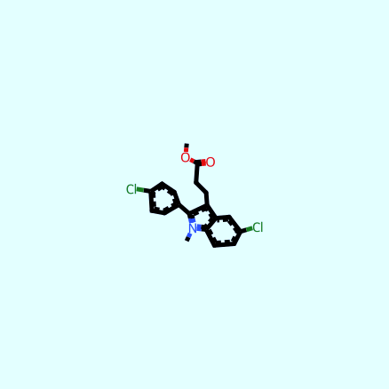 COC(=O)CCc1c(-c2ccc(Cl)cc2)n(C)c2ccc(Cl)cc12